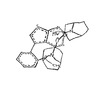 COc1ccccc1-c1csc2nc(N3C4CCC3CC(O)C4)nc(N3C4CCC3CC(OC)C4)c12